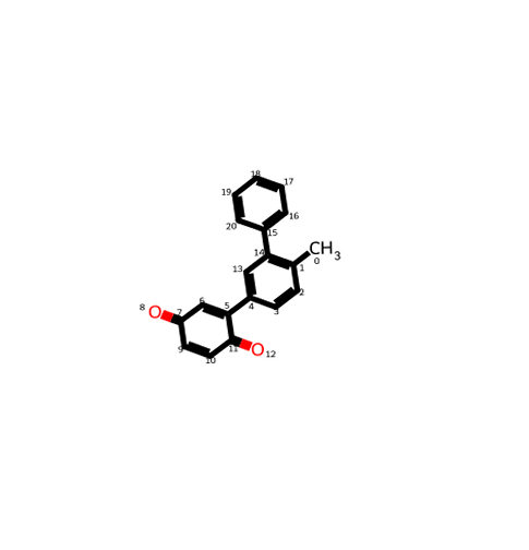 Cc1ccc(C2=CC(=O)C=CC2=O)cc1-c1ccccc1